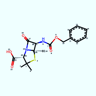 CC1(C)S[C@@H]2[C@H](NC(=O)OCc3ccccc3)C(=O)N2[C@H]1C(=O)O